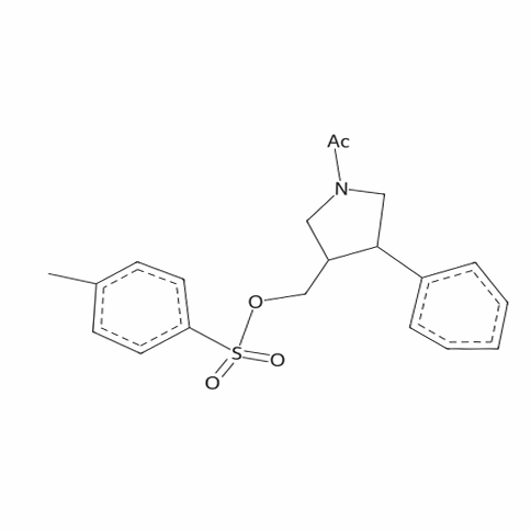 CC(=O)N1CC(COS(=O)(=O)c2ccc(C)cc2)C(c2ccccc2)C1